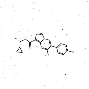 Cc1nc2c(C(=O)N[C@@H](C)C3CC3)ccn2cc1-c1ccc(F)cc1